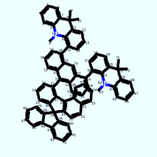 CN1c2ccccc2C(C)(C)c2cccc(-c3cccc4c(-c5cccc6c5-c5c(ccc7ccccc57)C65c6ccccc6-c6ccccc65)c5cccc(-c6cccc7c6N(C)c6ccccc6C7(C)C)c5cc34)c21